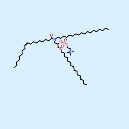 CCCCCCCC/C=C\CCCCCCCC(=O)N(CCCCCCCCCCCCCCCCCC)CC(COCCCCCCCCCCCCCCCC)OP(=O)([O-])OCC[N+](C)(C)C